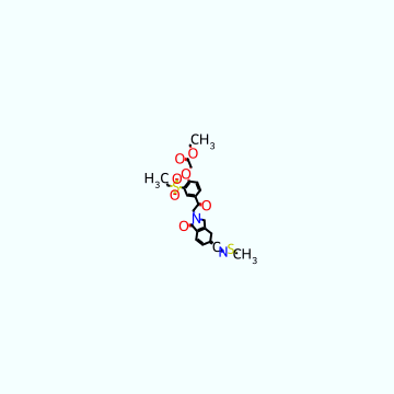 CCOC(=O)COc1ccc(C(=O)CN2CC3=C(C=CC(=C=NSC)C3)C2=O)cc1S(=O)(=O)CC